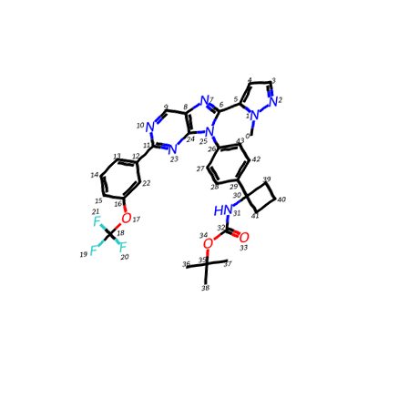 Cn1nccc1-c1nc2cnc(-c3cccc(OC(F)(F)F)c3)nc2n1-c1ccc(C2(NC(=O)OC(C)(C)C)CCC2)cc1